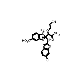 CN1c2ccc(C(=O)O)cc2NC1(Nc1nc2ccc(Cl)cc2s1)C(OCCC#N)C(N)=O